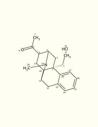 CC[C@@]12CC3C(C(C)=O)CC1C(Cc1ccccc12)N3C.Cl